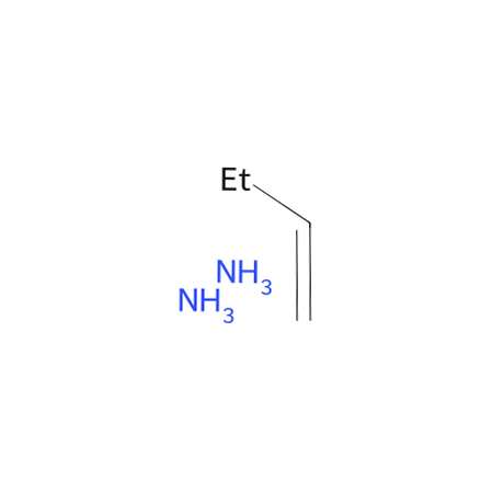 C=CCC.N.N